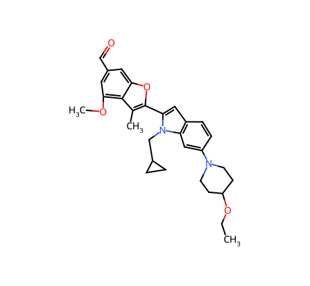 CCOC1CCN(c2ccc3cc(-c4oc5cc(C=O)cc(OC)c5c4C)n(CC4CC4)c3c2)CC1